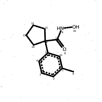 Cc1cccc(C2(C(=O)NO)CCCC2)c1